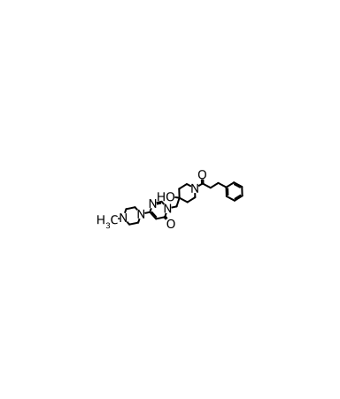 CN1CCN(c2cc(=O)n(CC3(O)CCN(C(=O)CCc4ccccc4)CC3)cn2)CC1